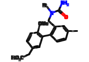 CCOC(=O)Cc1ccc(OC)c(-c2ccc(C)cc2CN(CC)C(N)=O)c1